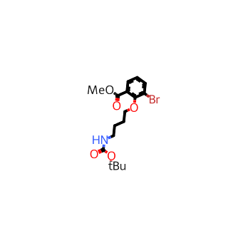 COC(=O)c1cccc(Br)c1OCCCCNC(=O)OC(C)(C)C